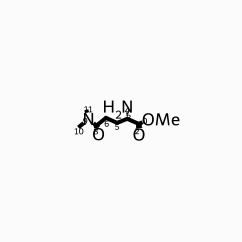 COC(=O)[C@@H](N)CCC(=O)N(C)C